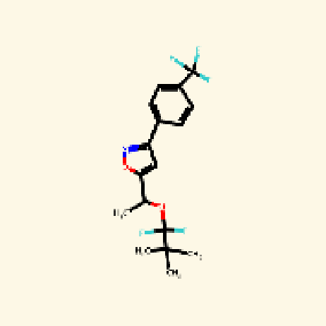 CC(OC(F)(F)C(C)(C)C)c1cc(-c2ccc(C(F)(F)F)cc2)no1